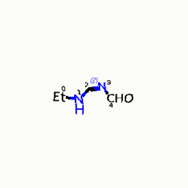 CCN/C=N\C=O